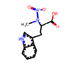 CN(C(Cc1c[nH]c2ccccc12)C(=O)O)[N+](=O)[O-]